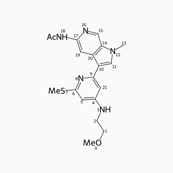 COCCNc1cc(SC)nc(-c2cn(C)c3cnc(NC(C)=O)cc23)c1